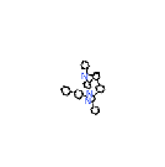 c1ccc(-c2ccc(-c3nc(-c4ccccc4)cc(-c4cccc(-c5cccc6c(-c7ccccc7)nc7ccccc7c56)c4)n3)cc2)cc1